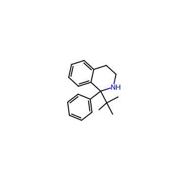 CC(C)(C)C1(c2ccccc2)NCCc2ccccc21